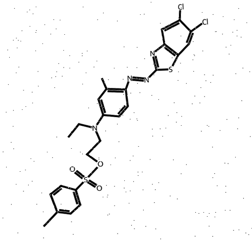 CCN(CCOS(=O)(=O)c1ccc(C)cc1)c1ccc(/N=N/c2nc3cc(Cl)c(Cl)cc3s2)c(C)c1